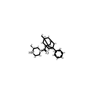 C[C@H]1CN(C(=O)C23CC4CC(C)(C2)CC(c2ccccc2)(C4)C3)CCN1